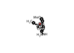 COc1ccc2ccc(S(=O)(=O)N(C(OC(=O)C(F)(F)F)C(=O)NCCc3ccc(C)cc3)[C@H]3CCN(Cc4cccc(C(=N)N)c4)C3=O)cc2c1